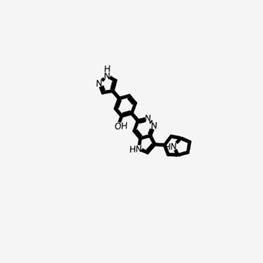 Oc1cc(-c2cn[nH]c2)ccc1-c1cc2[nH]cc(C3CC4CCC(C3)N4)c2nn1